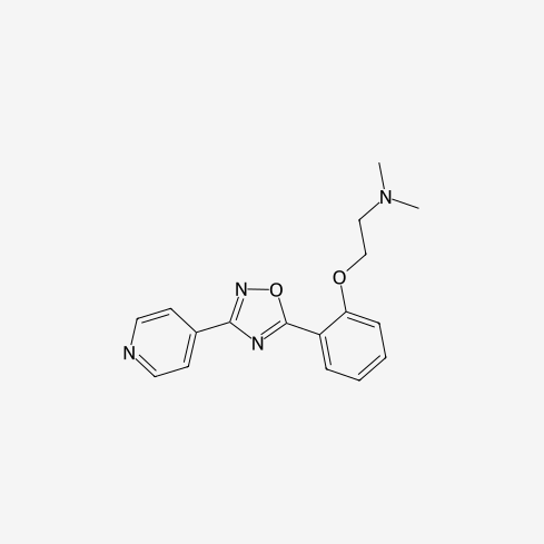 CN(C)CCOc1ccccc1-c1nc(-c2ccncc2)no1